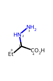 CCC(NN)C(=O)O